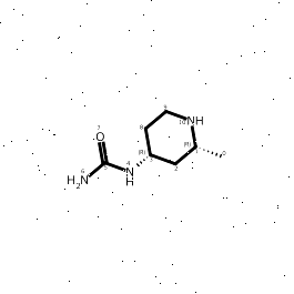 C[C@@H]1C[C@H](NC(N)=O)CCN1